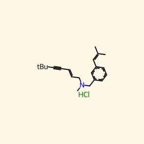 CC(C)=Cc1cccc(CN(C)CC=CC#CC(C)(C)C)c1.Cl